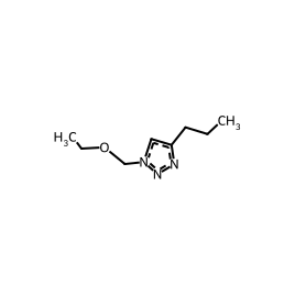 CCCc1cn(COCC)nn1